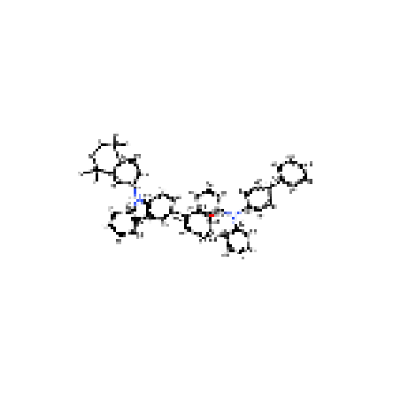 CC1(C)CCC(C)(C)c2cc(-n3c4ccccc4c4cc(-c5ccc(-c6ccccc6N(c6ccccc6)c6ccc(-c7ccccc7)cc6)cc5)ccc43)ccc21